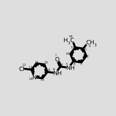 Cc1ccc(NC(=O)Nc2ccc(Cl)nc2)cc1C